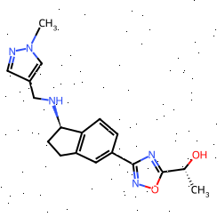 C[C@@H](O)c1nc(-c2ccc3c(c2)CC[C@H]3NCc2cnn(C)c2)no1